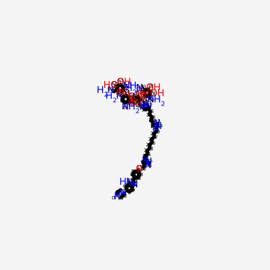 CN1CCN(c2ccc3nc(-c4ccc(OCc5cn(CCCCCCCCCCn6cc(CCCCc7cn(C[C@H]8OC(O[C@@H]9C(O)[C@H](N)CC(N)[C@H]9O[C@@H]9OC(CN)[C@@H](O)[C@H](O)C9N)[C@@H](O)[C@H]8O[C@H]8O[C@@H](CN)[C@@H](O)C(O)C8N)nn7)nn6)nn5)cc4)[nH]c3c2)CC1